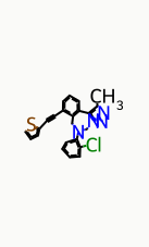 Cc1nnn2c1-c1cccc(C#Cc3cccs3)c1CN(c1ccccc1Cl)C2